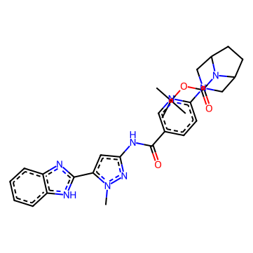 Cn1nc(NC(=O)c2ccc(N3CC4CCC(C3)N4C(=O)OC(C)(C)C)nc2)cc1-c1nc2ccccc2[nH]1